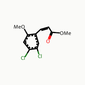 COC(=O)/C=C\c1cc(Cl)c(Cl)cc1OC